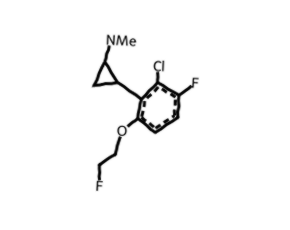 CNC1CC1c1c(OCCF)ccc(F)c1Cl